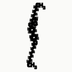 CCCCCCCCCCOc1ccc(-c2ccc(OC(=O)CC(F)CCCCCC)cc2)cc1